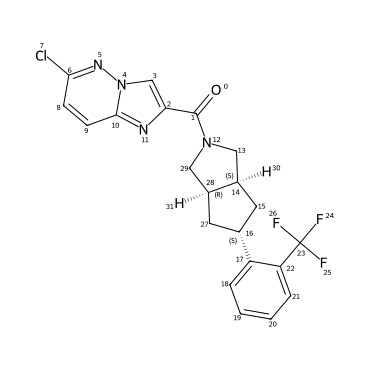 O=C(c1cn2nc(Cl)ccc2n1)N1C[C@H]2C[C@H](c3ccccc3C(F)(F)F)C[C@H]2C1